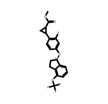 COC(=O)C1CC1c1ccc(O[C@@H]2CCc3c(OC(F)(F)F)cccc32)cc1F